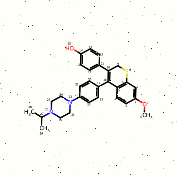 COc1ccc2c(c1)SCC(c1ccc(O)cc1)=C2c1ccc(N2CCN(C(C)C)CC2)cc1